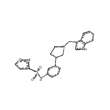 O=S(=O)(Nc1cccc(C2CCN(Cc3c[nH]c4ccccc34)C2)c1)c1ccon1